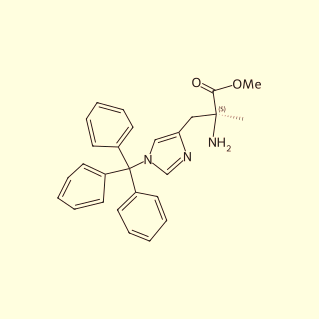 COC(=O)[C@@](C)(N)Cc1cn(C(c2ccccc2)(c2ccccc2)c2ccccc2)cn1